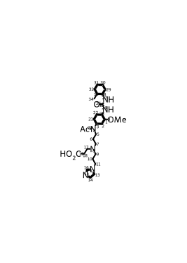 COc1cc(N(CCCN(CCCn2ccnc2)CCC(=O)O)C(C)=O)ccc1NC(=O)Nc1ccccc1C